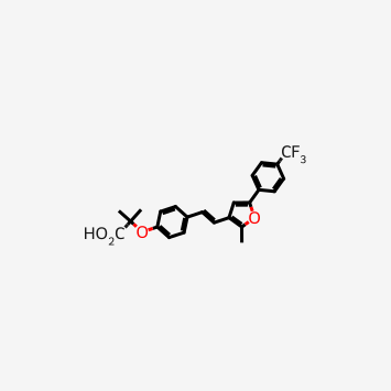 Cc1oc(-c2ccc(C(F)(F)F)cc2)cc1C=Cc1ccc(OC(C)(C)C(=O)O)cc1